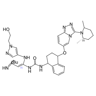 CC1CCC[C@H](C)N1c1nnc2ccc(OC3CCC(NC(=O)N/C(=C/C(=N)C(C)(C)C)Nc4cnn(CCO)c4)c4ccccc43)cn12